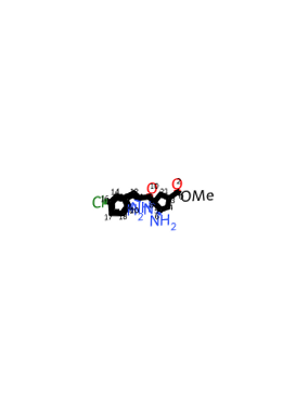 COC(=O)C1CC(N)C(N)(C(=O)c2cc3cc(Cl)ccc3[nH]2)C1